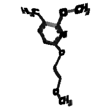 COCCOc1ccc(C)c(OC)n1